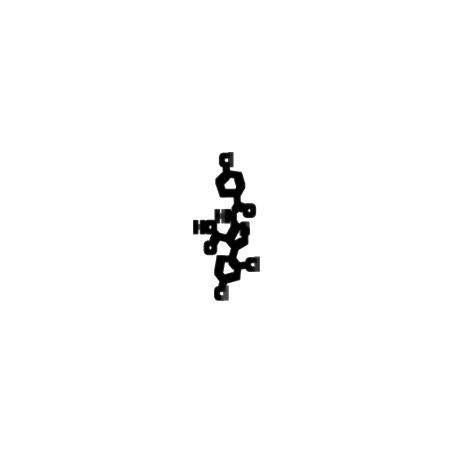 O=C(Nc1scc(-c2ccc(Cl)cc2Cl)c1C(=O)O)c1ccc(Cl)cc1